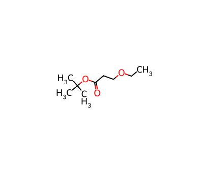 CCOCCC(=O)OC(C)(C)C